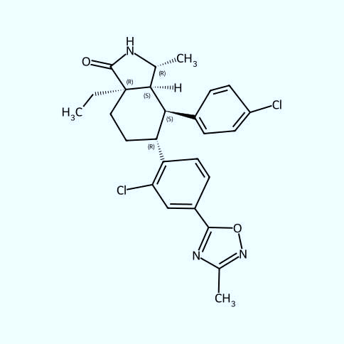 CC[C@@]12CC[C@@H](c3ccc(-c4nc(C)no4)cc3Cl)[C@H](c3ccc(Cl)cc3)[C@@H]1[C@@H](C)NC2=O